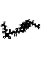 CC(C)CCC[C@@H](C)[C@H]1CC[C@H]2[C@@H]3CC=C4C[C@@H](OC(=O)NCCNc5c(NCCCN(C)C)c(=O)c5=O)CC[C@]4(C)[C@H]3CC[C@]12C